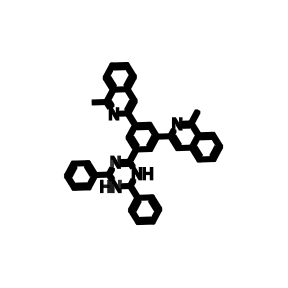 Cc1nc(-c2cc(C3=NC(c4ccccc4)NC(c4ccccc4)N3)cc(-c3cc4ccccc4c(C)n3)c2)cc2ccccc12